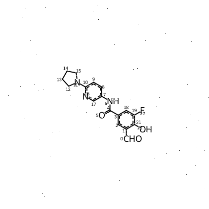 O=Cc1cc(C(=O)Nc2ccc(N3CCCC3)nc2)cc(F)c1O